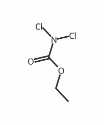 CCOC(=O)N(Cl)Cl